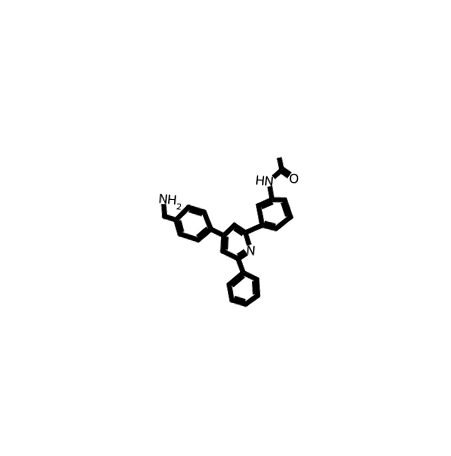 CC(=O)Nc1cccc(-c2cc(-c3ccc(CN)cc3)cc(-c3ccccc3)n2)c1